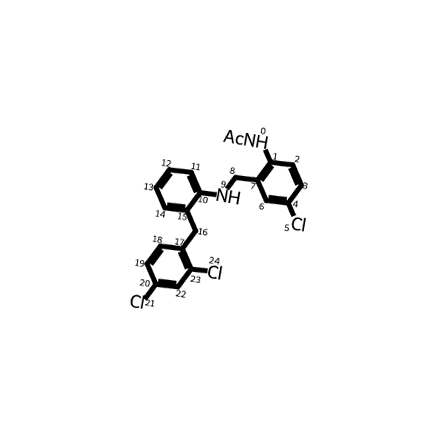 CC(=O)Nc1ccc(Cl)cc1CNc1ccccc1Cc1ccc(Cl)cc1Cl